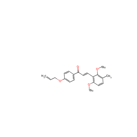 C=CCOc1ccc(C(=O)/C=C/c2c(OC(C)(C)C)ccc(C)c2OC(C)(C)C)cc1